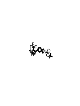 Cn1ncc(C2=CCC3(C2)CN(C(=O)OC(C)(C)C)C3)c1C(F)(F)F